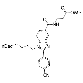 CCCCCCCCCCCCCCn1c(-c2ccc(C#N)cc2)nc2cc(C(=O)NCCC(=O)OC)ccc21